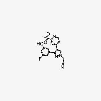 CS(=O)(=O)c1nccc(-c2cn(CC#N)nc2-c2cc(O)cc(F)c2)n1